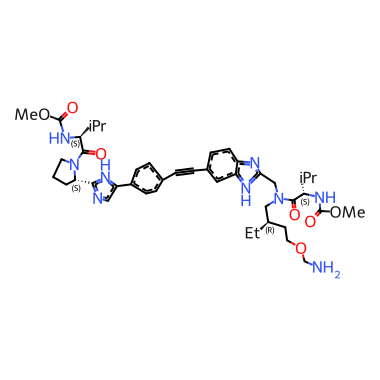 CC[C@H](CCOCN)CN(Cc1nc2ccc(C#Cc3ccc(-c4cnc([C@@H]5CCCN5C(=O)[C@@H](NC(=O)OC)C(C)C)[nH]4)cc3)cc2[nH]1)C(=O)[C@@H](NC(=O)OC)C(C)C